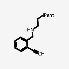 C#Cc1ccccc1CNCCC(C)CCC